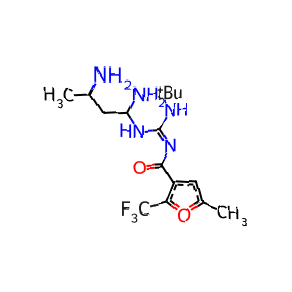 Cc1cc(C(=O)/N=C(\NC(N)CC(C)N)NC(C)(C)C)c(C(F)(F)F)o1